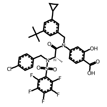 C[C@@H](C(=O)N(Cc1cc(C2CC2)cc(C(C)(C)C)c1)c1ccc(C(=O)O)c(O)c1)N(Cc1ccc(Cl)cc1)S(=O)(=O)c1c(F)c(F)c(F)c(F)c1F